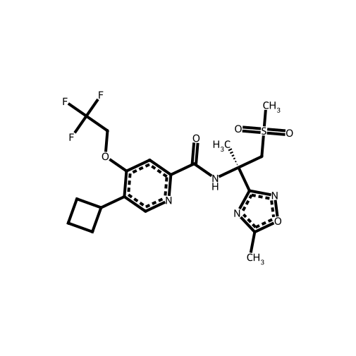 Cc1nc([C@](C)(CS(C)(=O)=O)NC(=O)c2cc(OCC(F)(F)F)c(C3CCC3)cn2)no1